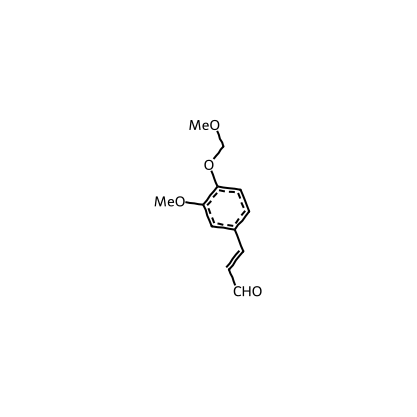 COCOc1ccc(C=CC=O)cc1OC